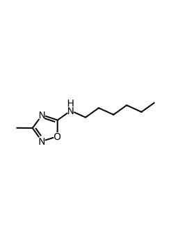 CCCCCCNc1nc(C)no1